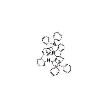 c1ccc(-c2ccc(-n3c4ccccc4c4cccc(-n5c6cc(-c7ccccc7)ccc6c6cccc([Si](c7ccccc7)(c7ccccc7)c7ccccc7)c65)c43)cc2)cc1